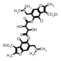 CCOC(=O)c1c(C)oc2cc(CN(C)C)c(OC(=O)C(O)C(O)C(=O)Oc3c(CN(C)C)cc4oc(C)c(C(=O)OCC)c4c3Cl)c(Cl)c12